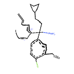 C=C/C=C(\C=C/C)C(N)(CCC1CC1)c1ccc(F)c(NC)c1